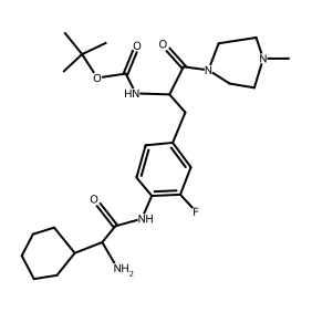 CN1CCN(C(=O)C(Cc2ccc(NC(=O)C(N)C3CCCCC3)c(F)c2)NC(=O)OC(C)(C)C)CC1